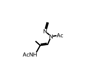 C=NN(/C=C(\C)NC(C)=O)C(C)=O